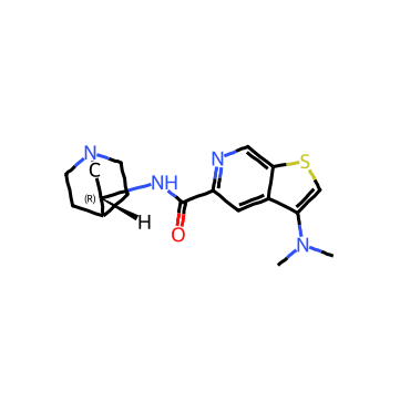 CN(C)c1csc2cnc(C(=O)N[C@H]3CN4CCC3CC4)cc12